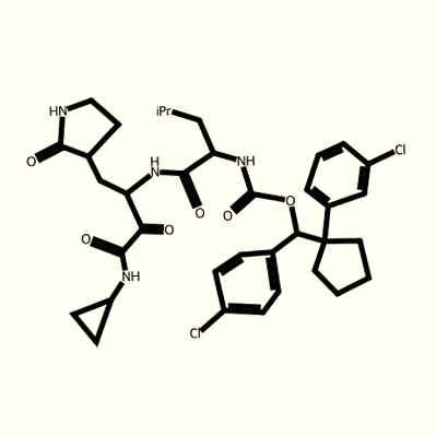 CC(C)CC(NC(=O)OC(c1ccc(Cl)cc1)C1(c2cccc(Cl)c2)CCCC1)C(=O)NC(CC1CCNC1=O)C(=O)C(=O)NC1CC1